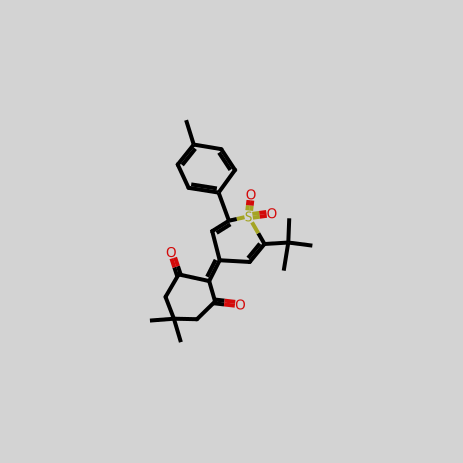 Cc1ccc(C2=CC(=C3C(=O)CC(C)(C)CC3=O)C=C(C(C)(C)C)S2(=O)=O)cc1